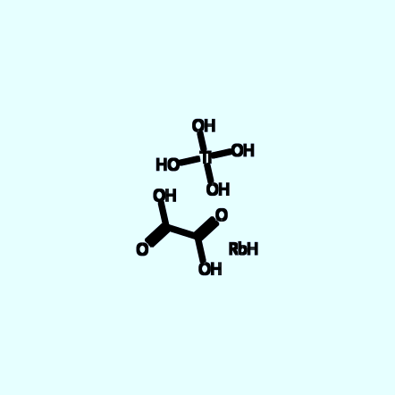 O=C(O)C(=O)O.[OH][Ti]([OH])([OH])[OH].[RbH]